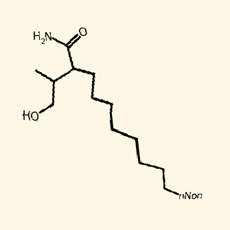 CCCCCCCCCCCCCCCCCC(C(N)=O)C(C)CO